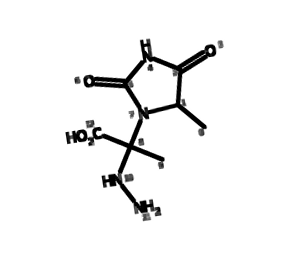 CC1C(=O)NC(=O)N1C(C)(NN)C(=O)O